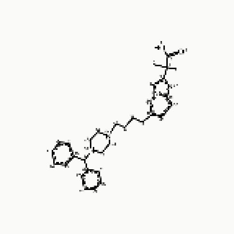 CC(C)(C(=O)O)c1cn2nc(CCCCN3CCN(C(c4ccccc4)c4ccccc4)CC3)ccc2n1